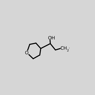 [CH2]CC(O)C1CCOCC1